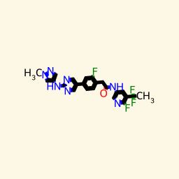 Cn1cc(Nc2ncc(-c3ccc(CC(=O)Nc4cnc(F)c(C(C)(F)F)c4)c(F)c3)cn2)cn1